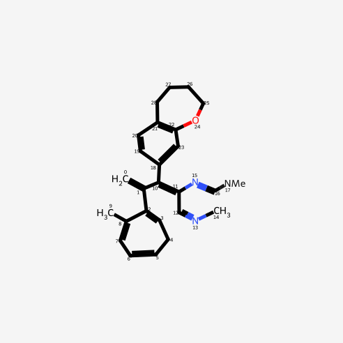 C=C(C1=CCC=CC=C1C)/C(=C(\C=N/C)/N=C/NC)c1ccc2c(c1)OCCCC2